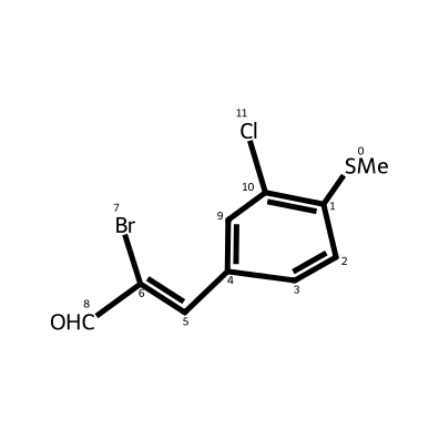 CSc1ccc(/C=C(\Br)C=O)cc1Cl